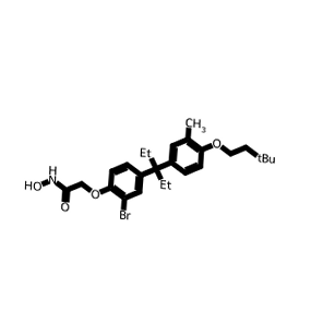 CCC(CC)(c1ccc(OCCC(C)(C)C)c(C)c1)c1ccc(OCC(=O)NO)c(Br)c1